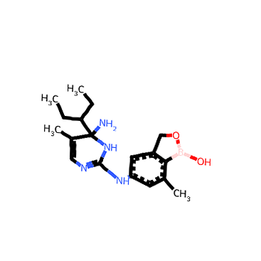 CCC(CC)C1(N)NC(Nc2cc(C)c3c(c2)COB3O)=NC=C1C